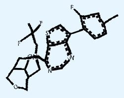 Cc1ccc(-c2csc3c(OC4C5COCC4CN(CC(C)(F)F)C5)ncnc23)c(F)c1